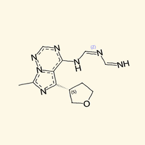 Cc1nc([C@@H]2CCOC2)c2c(N/C=N\C=N)ncnn12